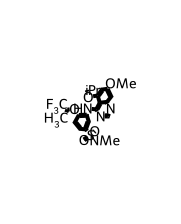 CNS(=O)(=O)c1ccc(OC(C)C(F)(F)F)c(Nc2ncnc3cc(OC)cc(OC(C)C)c23)c1